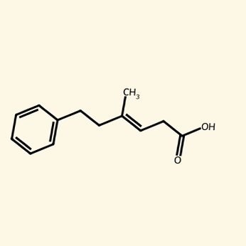 C/C(=C\CC(=O)O)CCc1ccccc1